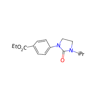 CCOC(=O)c1ccc(N2CCN(C(C)C)C2=O)cc1